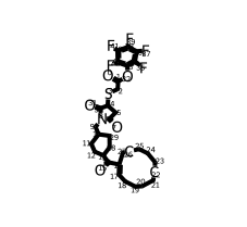 O=C(CSC1CC(=O)N(CC2CCC(C(=O)/C3=C/CCCCCCCCCC3)CC2)C1=O)Oc1c(F)c(F)c(F)c(F)c1F